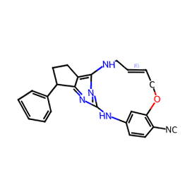 [C-]#[N+]c1ccc2cc1OC/C=C/CNc1nc(nc3c1CCC3c1ccccc1)N2